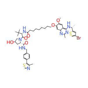 COc1cc2c(N[C@H](C)c3cc(Br)cs3)nc(C)nc2cc1OCCCCCCCCC(=O)N[C@H](C(=O)N1C[C@H](O)C[C@H]1C(=O)NCc1ccc(-c2scnc2C)cc1)C(C)(C)C